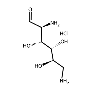 Cl.NC[C@@H](O)[C@@H](O)[C@H](O)[C@H](N)C=O